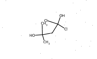 CC(C)(O)CC(O)(Cl)Cl